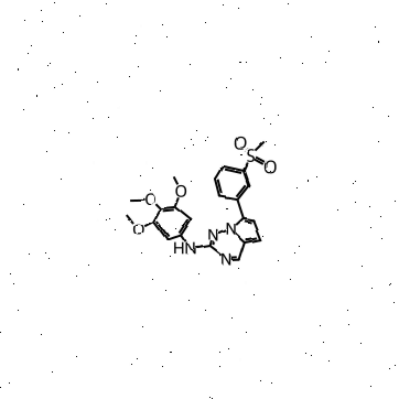 COc1cc(Nc2ncc3ccc(-c4cccc(S(C)(=O)=O)c4)n3n2)cc(OC)c1OC